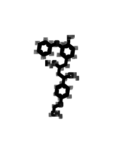 CCOc1ccc(C(C)CC(C)Cc2ccc(F)c(Oc3ccccc3)c2)cc1